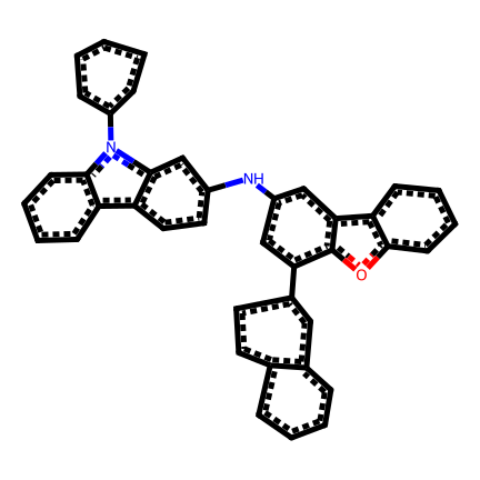 c1ccc(-n2c3ccccc3c3ccc(Nc4cc(-c5ccc6ccccc6c5)c5oc6ccccc6c5c4)cc32)cc1